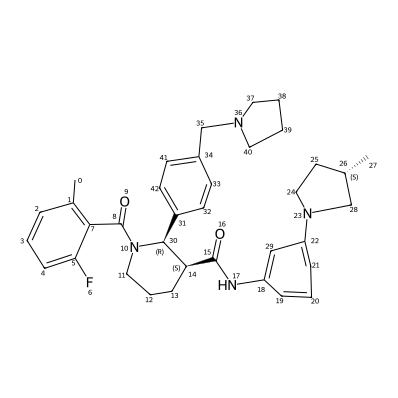 Cc1cccc(F)c1C(=O)N1CCC[C@H](C(=O)Nc2cccc(N3CC[C@H](C)C3)c2)[C@@H]1c1ccc(CN2CCCC2)cc1